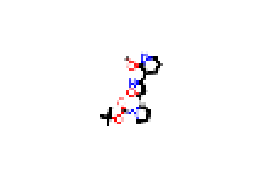 COc1ncccc1-c1cc([C@@H]2CCCN2C(=O)OC(C)(C)C)on1